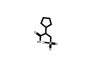 O=C(O)C(CS(=O)(=O)Cl)C1CCCC1